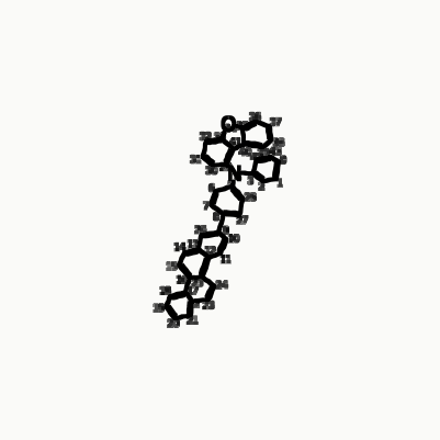 c1ccc(N(c2ccc(-c3ccc4c(ccc5c6ccccc6ccc45)c3)cc2)c2cccc3oc4ccccc4c23)cc1